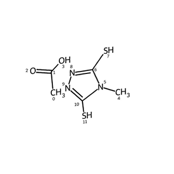 CC(=O)O.Cn1c(S)nnc1S